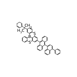 CC(C)(C1=CCCC=C1)c1ccc2c(c1)B1c3ccccc3Sc3cc(-c4c5ccccc5c(-c5ccc(-c6ccccc6)c6ccccc56)c5ccccc45)cc(c31)S2